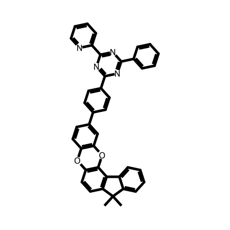 CC1(C)c2ccccc2-c2c1ccc1c2Oc2cc(-c3ccc(-c4nc(-c5ccccc5)nc(-c5ccccn5)n4)cc3)ccc2O1